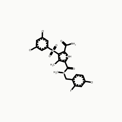 Cc1c(C(=O)N(C)Cc2ccc(Cl)cc2F)[nH]c(C(N)=O)c1S(=O)(=O)c1cc(Cl)cc(Cl)c1